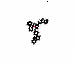 CC1(C)c2ccccc2-c2cccc(-c3ccc(N(c4ccc(-c5ccc6oc7ccccc7c6c5)cc4)c4cccc5c4C(C)(C)c4ccccc4-5)cc3)c21